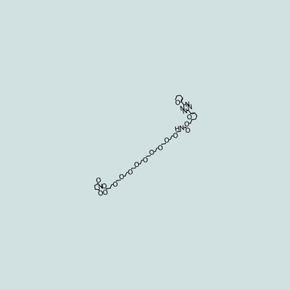 O=C(CCOCCOCCOCCOCCOCCOCCOCCOCCOCCNC(=O)OCC1CCC=C(c2nnc(C3=CCCCO3)nn2)O1)ON1C(=O)CCC1=O